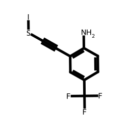 Nc1ccc(C(F)(F)F)cc1C#CSI